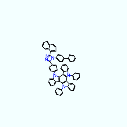 c1ccc(-c2ccc(-n3c(-c4ccc(-n5c6ccccc6c6c7c(c8ccccc8n7-c7ccccc7)c7c(c8ccccc8n7-c7ccccc7)c65)cc4)nnc3-c3cccc4ccccc34)cc2)cc1